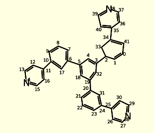 C1=CC(c2cc(-c3cccc(-c4ccncc4)c3)cc(-c3cccc(-c4ccncc4)c3)c2)CC(c2ccncc2)=C1